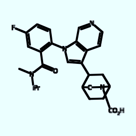 CC(C)N(C)C(=O)c1cc(F)ccc1-n1cc(C2CC3CCC2CN3C(=O)O)c2ccncc21